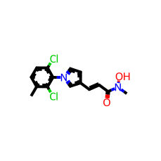 Cc1ccc(Cl)c(-n2ccc(/C=C/C(=O)N(C)O)c2)c1Cl